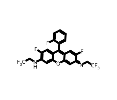 Fc1cc2c(-c3ccccc3F)c3cc(F)/c(=N\CC(F)(F)F)cc-3oc2cc1NCC(F)(F)F